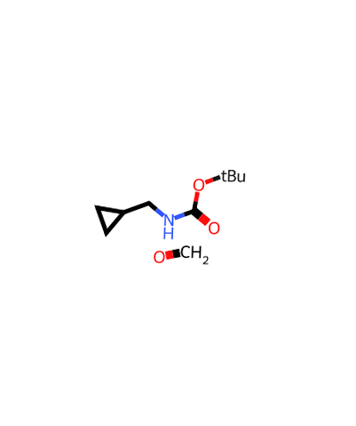 C=O.CC(C)(C)OC(=O)NCC1CC1